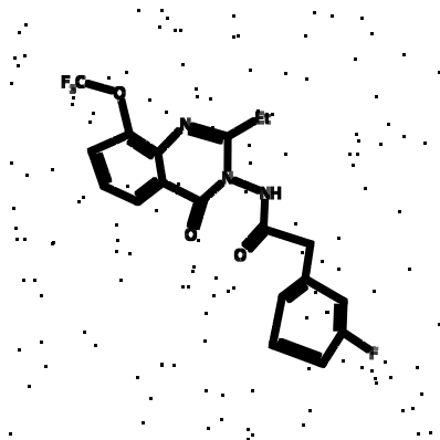 CCc1nc2c(OC(F)(F)F)cccc2c(=O)n1NC(=O)Cc1cccc(F)c1